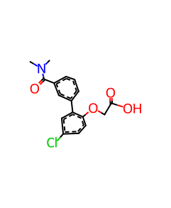 CN(C)C(=O)c1cccc(-c2cc(Cl)ccc2OCC(=O)O)c1